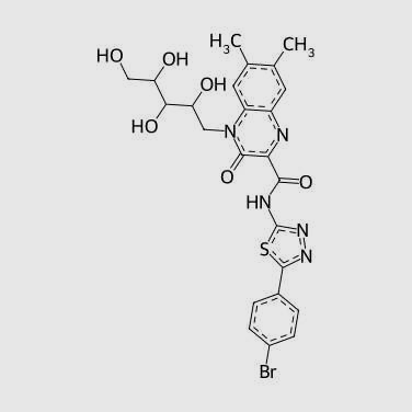 Cc1cc2nc(C(=O)Nc3nnc(-c4ccc(Br)cc4)s3)c(=O)n(CC(O)C(O)C(O)CO)c2cc1C